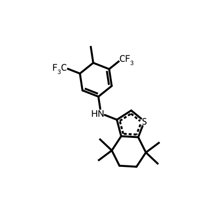 CC1C(C(F)(F)F)=CC(Nc2csc3c2C(C)(C)CCC3(C)C)=CC1C(F)(F)F